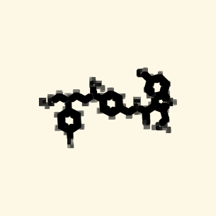 CCc1nc2ccc(Cl)cn2c1C(=O)NCc1ccc(N(C)CCN(CC)c2ccc(F)cc2)cc1